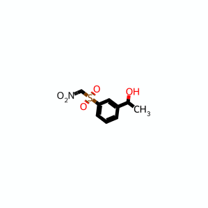 CC(O)c1cccc(S(=O)(=O)C[N+](=O)[O-])c1